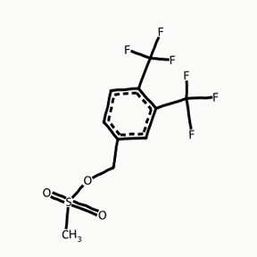 CS(=O)(=O)OCc1ccc(C(F)(F)F)c(C(F)(F)F)c1